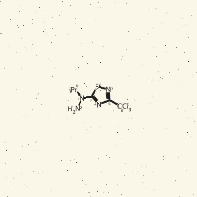 CC(C)N(N)c1nc(C(Cl)(Cl)Cl)ns1